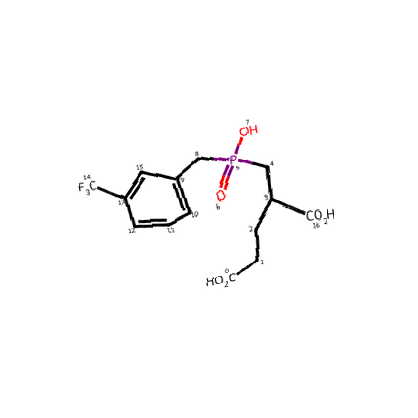 O=C(O)CCC(CP(=O)(O)Cc1cccc(C(F)(F)F)c1)C(=O)O